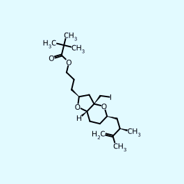 C=C(C)[C@H](C)C[C@H]1CC[C@@H]2O[C@@H](CCCOC(=O)C(C)(C)C)C[C@]2(CI)O1